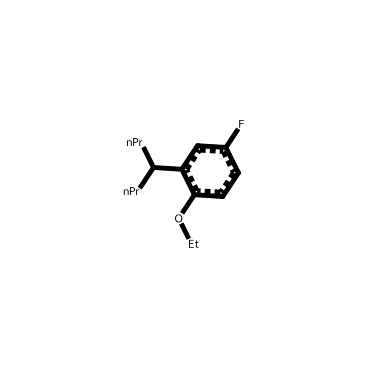 CCCC(CCC)c1cc(F)ccc1OCC